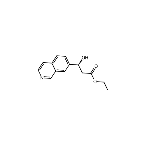 CCOC(=O)C[C@H](O)c1ccc2ccncc2c1